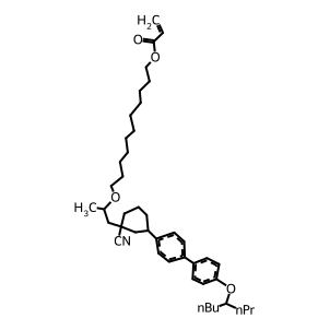 C=CC(=O)OCCCCCCCCCCCOC(C)CC1(C#N)CCCC(c2ccc(-c3ccc(OC(CCC)CCCC)cc3)cc2)C1